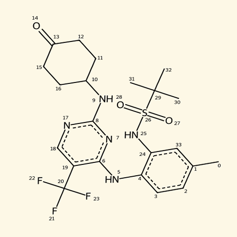 Cc1ccc(Nc2nc(NC3CCC(=O)CC3)ncc2C(F)(F)F)c(NS(=O)(=O)C(C)(C)C)c1